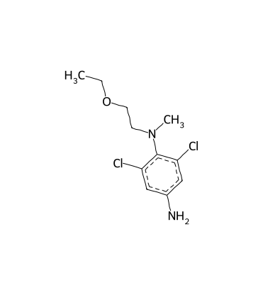 CCOCCN(C)c1c(Cl)cc(N)cc1Cl